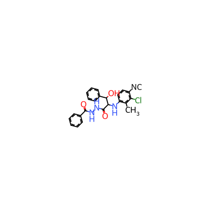 [C-]#[N+]c1ccc(NC(C(=O)NNC(=O)c2ccccc2)C(O)c2ccccc2)c(C)c1Cl